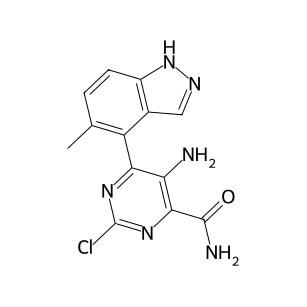 Cc1ccc2[nH]ncc2c1-c1nc(Cl)nc(C(N)=O)c1N